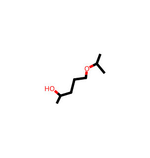 CC(O)CCCOC(C)C